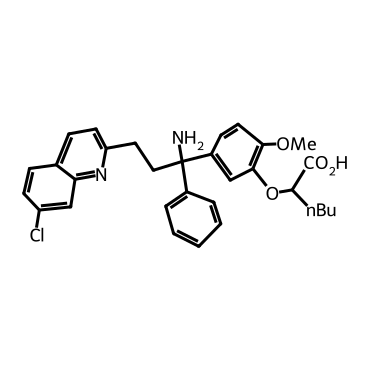 CCCCC(Oc1cc(C(N)(CCc2ccc3ccc(Cl)cc3n2)c2ccccc2)ccc1OC)C(=O)O